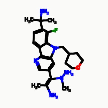 C/C(N)=C(\c1cnc2c3ccc(C(C)(C)N)c(F)c3n(CC3CCOCC3)c2c1)N(C)N